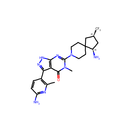 Cc1nc(N)ccc1-c1n[nH]c2nc(N3CCC4(CC3)C[C@@H](C(F)(F)F)C[C@H]4N)n(C)c(=O)c12